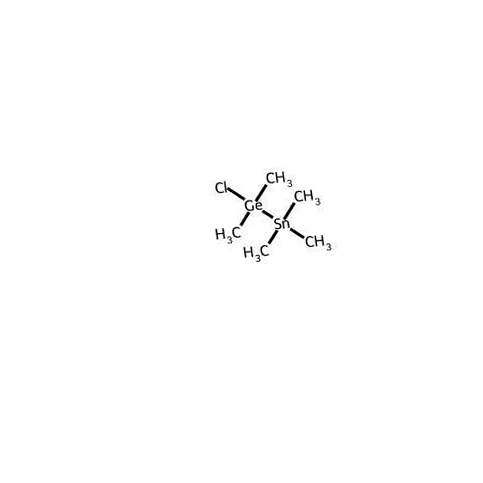 [CH3][Ge]([CH3])([Cl])[Sn]([CH3])([CH3])[CH3]